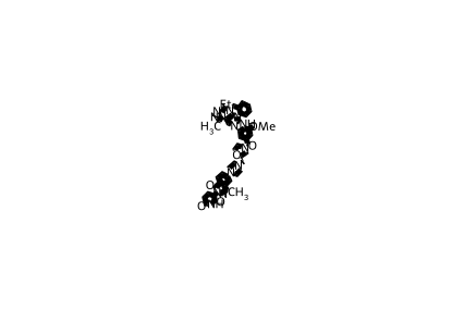 CC[C@@H]1c2nnc(C)n2-c2cnc(Nc3ccc(C(=O)N4CCO[C@@H](CN5CCN(c6ccc7c(=O)n(C8CCC(=O)NC8=O)nc(C)c7c6)CC5)C4)cc3OC)nc2N1CC1CCCCC1